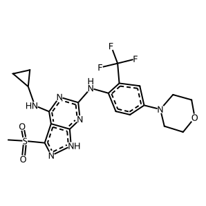 CS(=O)(=O)c1n[nH]c2nc(Nc3ccc(N4CCOCC4)cc3C(F)(F)F)nc(NC3CC3)c12